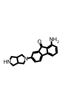 Nc1cccc2c1C(=O)c1cc(N3CC4CNCC4C3)ccc1-2